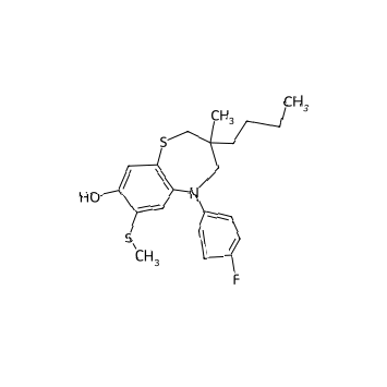 CCCCC1(C)CSc2cc(O)c(SC)cc2N(c2ccc(F)cc2)C1